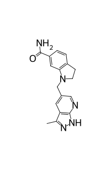 Cc1n[nH]c2ncc(CN3CCc4ccc(C(N)=O)cc43)cc12